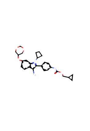 Nc1c(-c2ccc(NC(=O)OCC3CC3)cc2)n(C2CCC2)c2cc(OC3COCOC3)ccc12